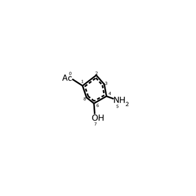 CC(=O)c1ccc(N)c(O)c1